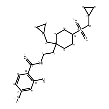 O=C(NCCC1(CC2CC2)CCC(S(=O)(=O)CC2CC2)CC1)c1ccc(C(F)(F)F)cc1Cl